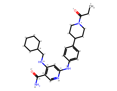 CCC(=O)N1CCC(c2ccc(Nc3cc(NCC4CCCCC4)c(C(N)=O)cn3)cc2)CC1